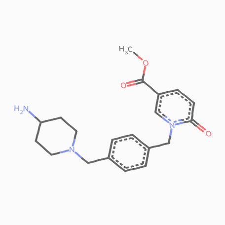 COC(=O)c1ccc(=O)n(Cc2ccc(CN3CCC(N)CC3)cc2)c1